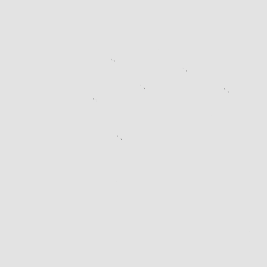 c1ccc(-c2nc(-c3ccccc3)nc(-n3c4ccccc4c4c5sc6ccccc6c5c5sc6ncncc6c5c43)n2)cc1